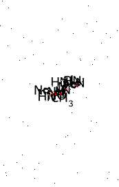 CC1(C(=N)Nc2ccc(C#N)cc2)CCN(c2nc3[nH]nc(-c4ccc5cn[nH]c5c4Cl)c3nc2CO)CC1